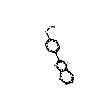 CCCCOc1ccc(-c2nc3nccnc3[nH]2)cc1